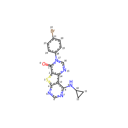 O=c1c2sc3ncnc(NC4CC4)c3c2ncn1-c1ccc(Br)cc1